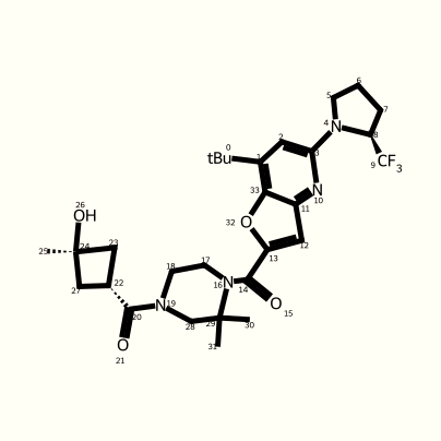 CC(C)(C)c1cc(N2CCC[C@H]2C(F)(F)F)nc2cc(C(=O)N3CCN(C(=O)[C@H]4C[C@](C)(O)C4)CC3(C)C)oc12